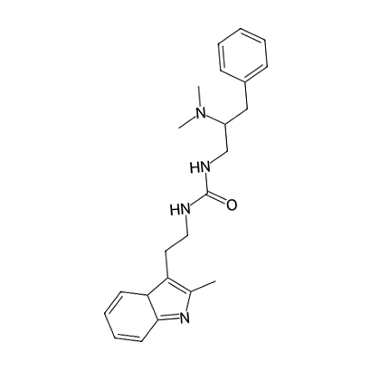 CC1=C(CCNC(=O)NCC(Cc2ccccc2)N(C)C)C2C=CC=CC2=N1